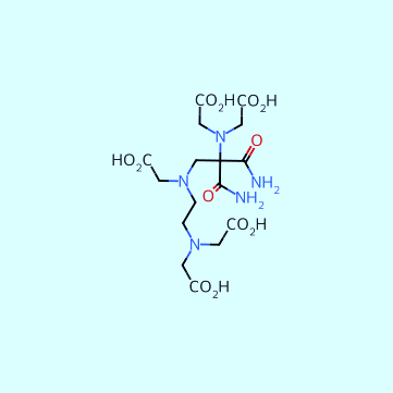 NC(=O)C(CN(CCN(CC(=O)O)CC(=O)O)CC(=O)O)(C(N)=O)N(CC(=O)O)CC(=O)O